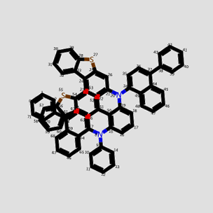 c1ccc(-c2ccc(N(c3ccccc3)c3cccc(N(c4ccc5c(c4)sc4ccccc45)c4ccc(-c5ccccc5)c5ccccc45)c3-c3ccc4sc5ccccc5c4c3)c3ccccc23)cc1